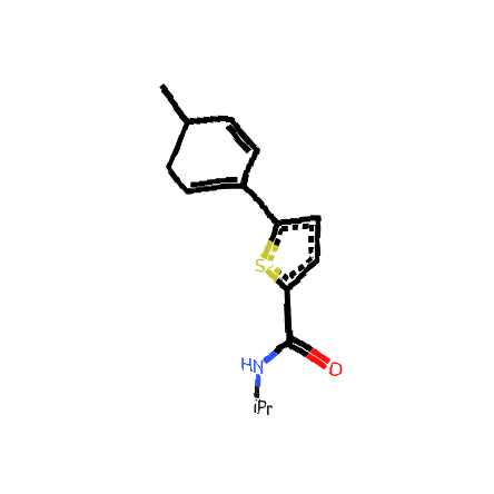 CC1C=CC(c2ccc(C(=O)NC(C)C)s2)=CC1